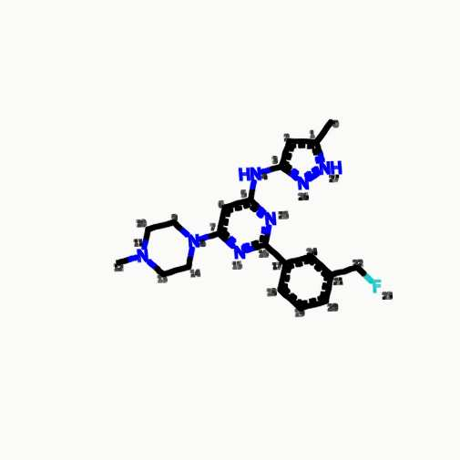 Cc1cc(Nc2cc(N3CCN(C)CC3)nc(-c3cccc(CF)c3)n2)n[nH]1